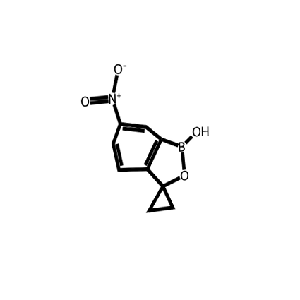 O=[N+]([O-])c1ccc2c(c1)B(O)OC21CC1